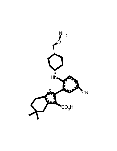 CC1(C)CCc2sc(-c3cc(C#N)ccc3N[C@H]3CC[C@H](CON)CC3)c(C(=O)O)c2C1